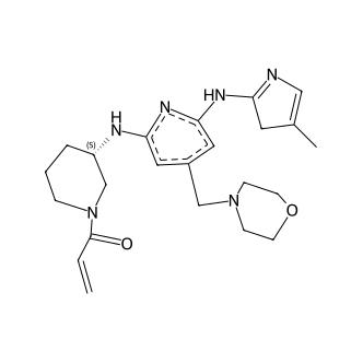 C=CC(=O)N1CCC[C@H](Nc2cc(CN3CCOCC3)cc(NC3=NC=C(C)C3)n2)C1